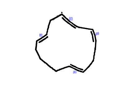 [C]1=C/C=C\C/C=C/CC/C=C/C/1